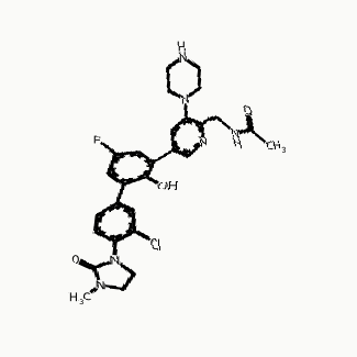 CC(=O)NCc1ncc(-c2cc(F)cc(-c3ccc(N4CCN(C)C4=O)c(Cl)c3)c2O)cc1N1CCNCC1